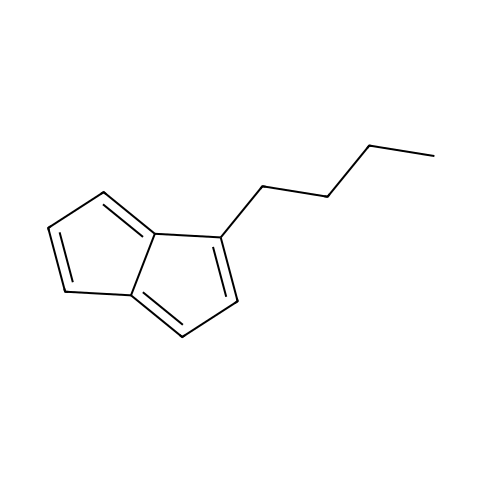 CCCCC1=CC=C2C=CC=C21